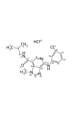 CC(C)CNC(=O)c1cnc(Nc2cccc(Cl)c2)c2ncn(C)c12.Cl